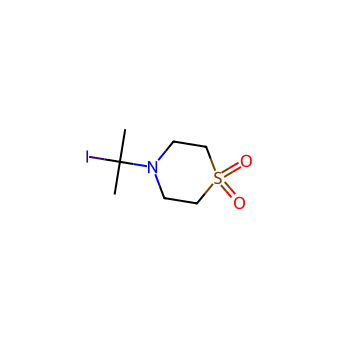 CC(C)(I)N1CCS(=O)(=O)CC1